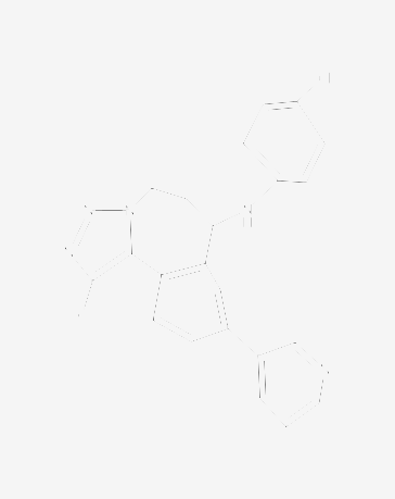 Cc1nnn2c1-c1ccc(-c3cccnc3)cc1C(Nc1ccc(Cl)cc1)CC2